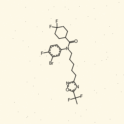 CC(F)(F)c1nc(CCCCCN(C(=O)C2CCC(F)(F)CC2)c2ccc(F)c(Br)c2)no1